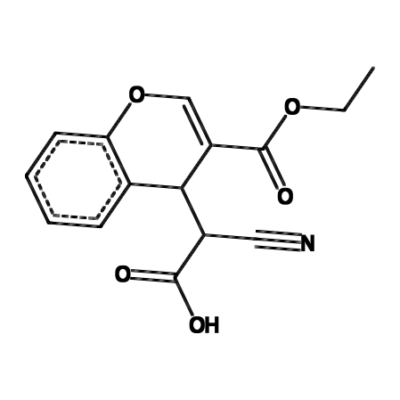 CCOC(=O)C1=COc2ccccc2C1C(C#N)C(=O)O